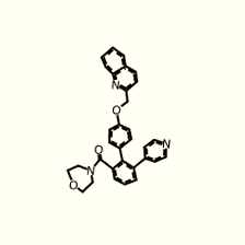 O=C(c1cccc(-c2ccncc2)c1-c1ccc(OCc2ccc3ccccc3n2)cc1)N1CCOCC1